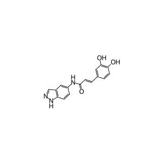 O=C(/C=C/c1ccc(O)c(O)c1)Nc1ccc2[nH]ncc2c1